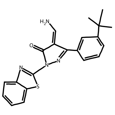 CC(C)(C)c1cccc(C2=NN(c3nc4ccccc4s3)C(=O)C2=CN)c1